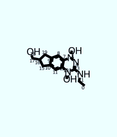 CCNC1=NN(O)c2cc3c(cc2N1O)CC(CO)C3